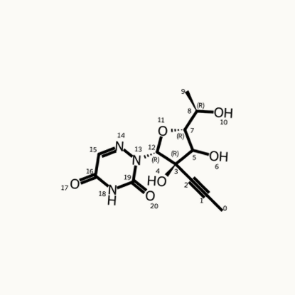 CC#C[C@@]1(O)C(O)[C@@H]([C@@H](C)O)O[C@H]1n1ncc(=O)[nH]c1=O